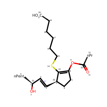 CCCCC[C@H](O)/C=C/[C@@H]1CCC(OC(=O)CCC)=C1SCCCCCC(=O)O